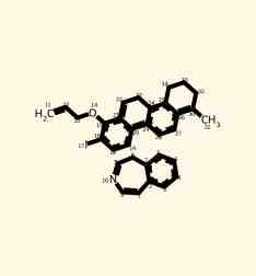 C1=Cc2ccccc2CC=N1.C=CCOc1c(I)ccc2c1=CCc1c3c(ccc1=2)=C(C)CCC3